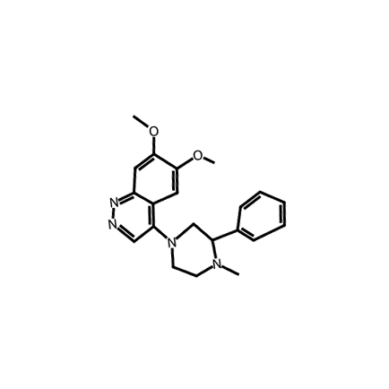 COc1cc2nncc(N3CCN(C)C(c4ccccc4)C3)c2cc1OC